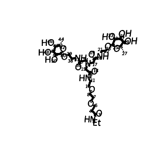 CCNC(=O)CCOCCOCCNC(=O)CN(CC(=O)NCCO[C@@H]1O[C@@H](C)[C@@H](O)[C@@H](O)[C@@H]1O)CC(=O)NCCO[C@@H]1O[C@@H](C)[C@@H](O)[C@@H](O)[C@@H]1O